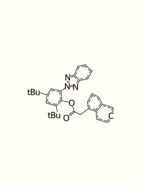 CC(C)(C)c1cc(-n2nc3ccccc3n2)c(OC(=O)Cc2cccc3ccccc23)c(C(C)(C)C)c1